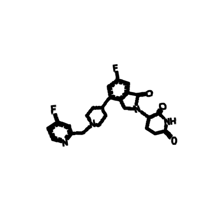 O=C1CCC(N2Cc3c(cc(F)cc3C3CCN(Cc4cc(F)ccn4)CC3)C2=O)C(=O)N1